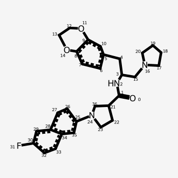 O=C(NC(Cc1ccc2c(c1)OCCO2)CN1CCCC1)C1CCN(c2ccc3cc(F)ccc3c2)C1